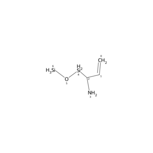 C=CC(N)[SiH2]O[SiH3]